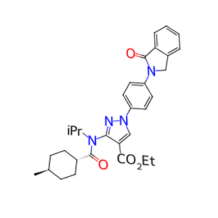 CCOC(=O)c1cn(-c2ccc(N3Cc4ccccc4C3=O)cc2)nc1N(C(=O)[C@H]1CC[C@H](C)CC1)C(C)C